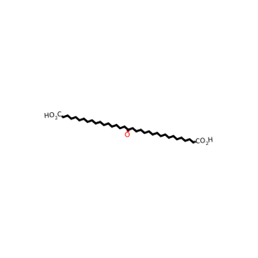 O=C(O)CCCCCCCCCCCCCCCCC(=O)CCCCCCCCCCCCCCCCC(=O)O